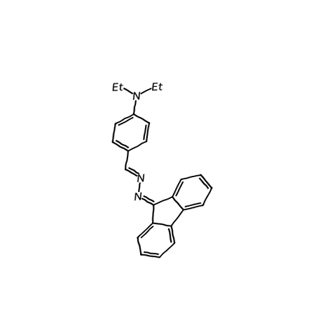 CCN(CC)c1ccc(C=NN=C2c3ccccc3-c3ccccc32)cc1